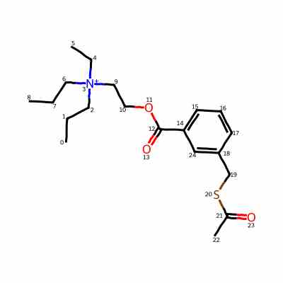 CCC[N+](CC)(CCC)CCOC(=O)c1cccc(CSC(C)=O)c1